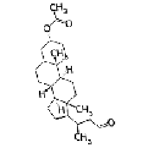 CC(=O)O[C@@H]1CC[C@@]2(C)C(CC[C@H]3[C@@H]4CC[C@H]([C@H](C)CC=O)[C@@]4(C)CC[C@@H]32)C1